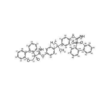 CC(C)(c1ccc(OC(=N)P2(=O)COc3ccccc3-c3ccccc32)cc1)c1ccc(OC(=N)P2(=O)Oc3ccccc3-c3ccccc32)cc1